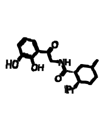 CC1CC[C@@H](C(C)C)[C@H](C(=O)NCC(=O)c2cccc(O)c2O)C1